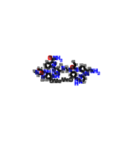 C=CC(=O)Nc1cc(Nc2nc(CN(C)CCN(C)c3cc(OC)c(Nc4nccc(-n5nc(CN)c6ccccc65)n4)cc3NC(=O)C=C)cc(-n3nc(C(N)=O)c4ccccc43)n2)c(OC)cc1N(C)CCN(C)C